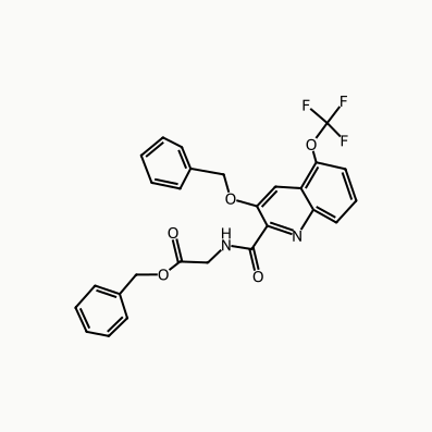 O=C(CNC(=O)c1nc2cccc(OC(F)(F)F)c2cc1OCc1ccccc1)OCc1ccccc1